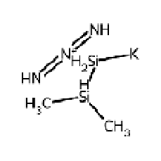 C[SiH](C)[SiH2][K].N=[N+]=N